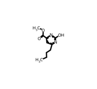 CCCCc1cc(C(=O)OC)nc(O)n1